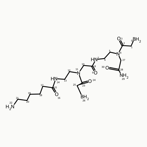 BCC(=O)N(CCNC(=O)CN(CCNC(=O)CCCCCN)C(=O)CB)CC(N)=O